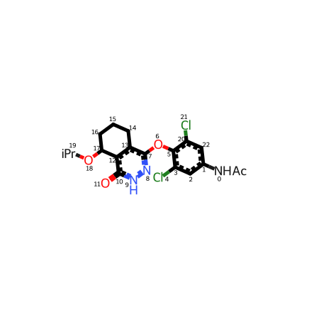 CC(=O)Nc1cc(Cl)c(Oc2n[nH]c(=O)c3c2CCCC3OC(C)C)c(Cl)c1